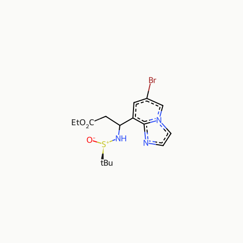 CCOC(=O)CC(N[S@+]([O-])C(C)(C)C)c1cc(Br)cn2ccnc12